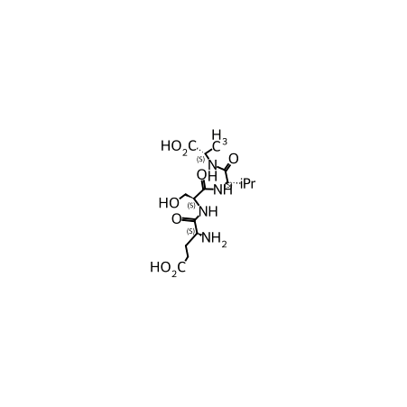 CC(C)[C@H](NC(=O)[C@H](CO)NC(=O)[C@@H](N)CCC(=O)O)C(=O)N[C@@H](C)C(=O)O